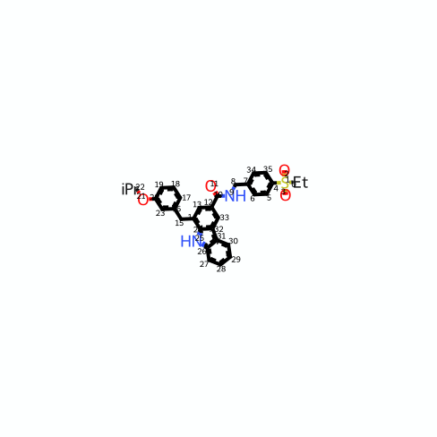 CCS(=O)(=O)c1ccc(CNC(=O)c2cc(Cc3cccc(OC(C)C)c3)c3[nH]c4ccccc4c3c2)cc1